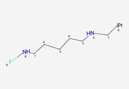 CC(C)CNCCCCCNF